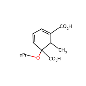 CCCOC1(C(=O)O)C=CC=C(C(=O)O)C1C